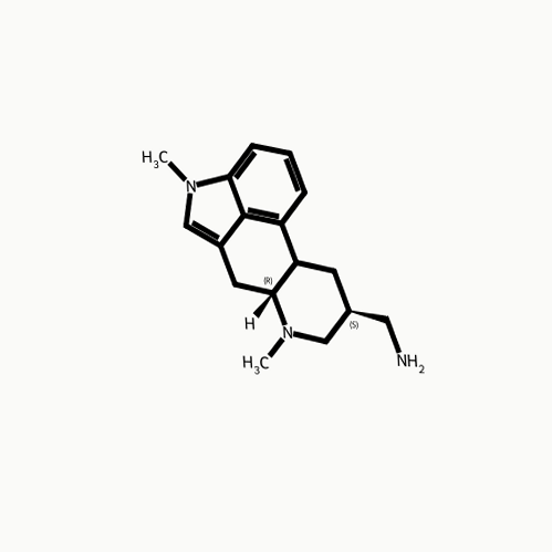 CN1C[C@H](CN)CC2c3cccc4c3c(cn4C)C[C@H]21